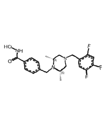 C[C@@H]1CN(Cc2cc(F)c(F)cc2F)C[C@H](C)N1Cc1ccc(C(=O)NO)cc1